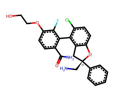 NC[C@@]1(c2ccccc2)Cc2c(ccc(Cl)c2-c2c(C(N)=O)ccc(OCCO)c2F)O1